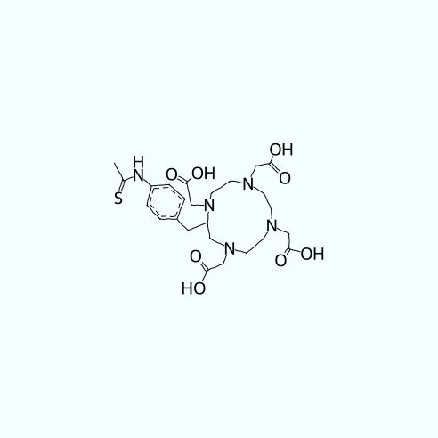 CC(=S)Nc1ccc(CC2CN(CC(=O)O)CCN(CC(=O)O)CCN(CC(=O)O)CCN2CC(=O)O)cc1